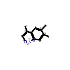 C/C=C(/C)c1cc(C)c(C)cc1N